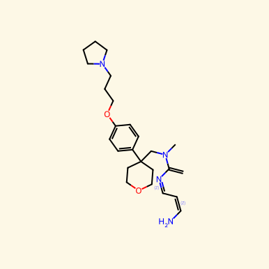 C=C(/N=C\C=C/N)N(C)CC1(c2ccc(OCCCN3CCCC3)cc2)CCOCC1